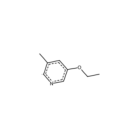 CCOc1cn[c]c(C)c1